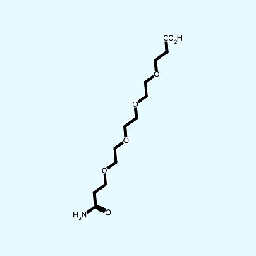 NC(=O)CCOCCOCCOCCOCCC(=O)O